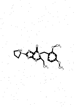 CCc1nc2sc([C@H]3CCCN3)nc2c(=O)n1Cc1ccc(OC)cc1OC